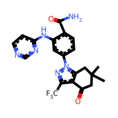 CC1(C)CC(=O)c2c(C(F)(F)F)nn(-c3ccc(C(N)=O)c(Nc4ccncn4)c3)c2C1